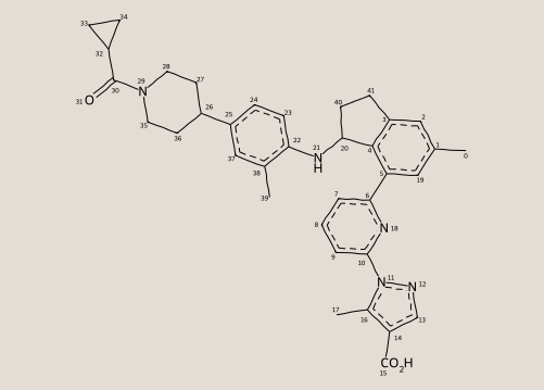 Cc1cc2c(c(-c3cccc(-n4ncc(C(=O)O)c4C)n3)c1)C(Nc1ccc(C3CCN(C(=O)C4CC4)CC3)cc1C)CC2